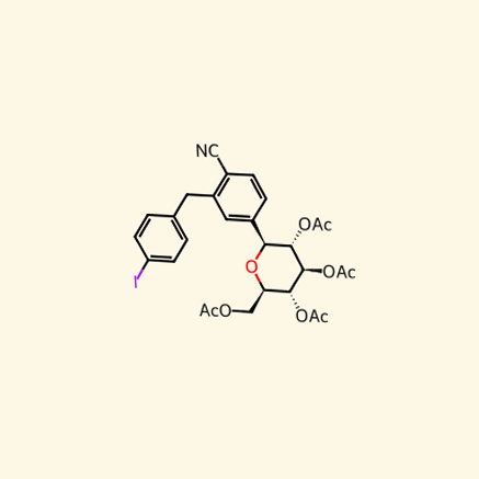 CC(=O)OC[C@H]1O[C@@H](c2ccc(C#N)c(Cc3ccc(I)cc3)c2)[C@H](OC(C)=O)[C@@H](OC(C)=O)[C@@H]1OC(C)=O